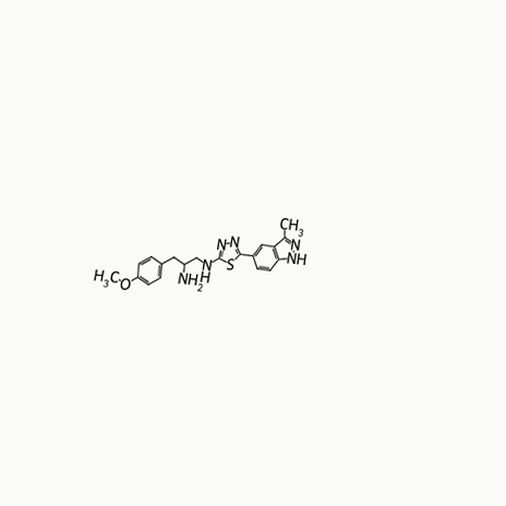 COc1ccc(CC(N)CNc2nnc(-c3ccc4[nH]nc(C)c4c3)s2)cc1